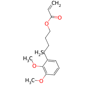 C=CC(=O)OCCC[SiH2]c1cccc(OC)c1OC